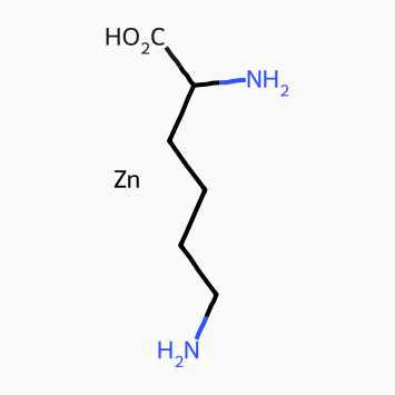 NCCCCC(N)C(=O)O.[Zn]